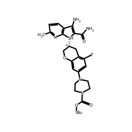 Cc1ccc2c(n1)[SH]([C@H]1COc3cc(N4CCN(C(=O)OC(C)(C)C)CC4)cc(F)c3C1)C(C(N)=O)=C2N